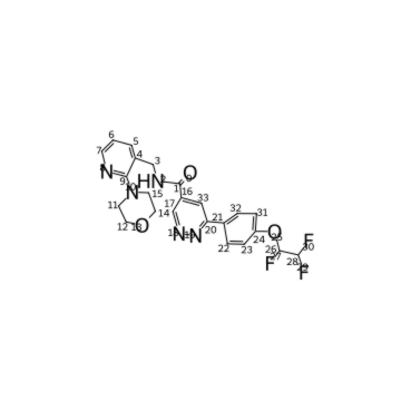 O=C(NCc1cccnc1N1CCOCC1)c1cnnc(-c2ccc(OC(F)C(F)F)cc2)c1